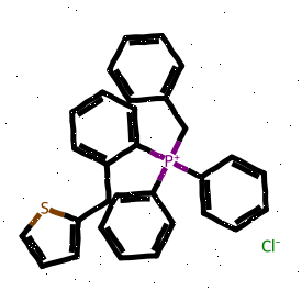 [Cl-].c1ccc(C[P+](c2ccccc2)(c2ccccc2)c2ccccc2Cc2cccs2)cc1